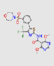 COc1ncnc(OC)c1C(=O)Nc1nc(C(F)(F)F)c(-c2cccc(S(=O)(=O)N3CCOCC3)c2)s1